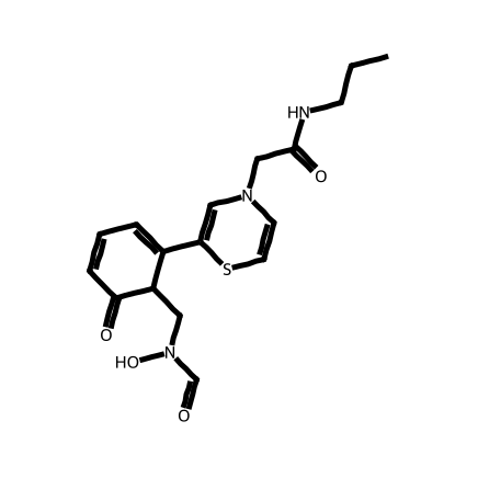 CCCNC(=O)CN1C=CSC(C2=CC=CC(=O)C2CN(O)C=O)=C1